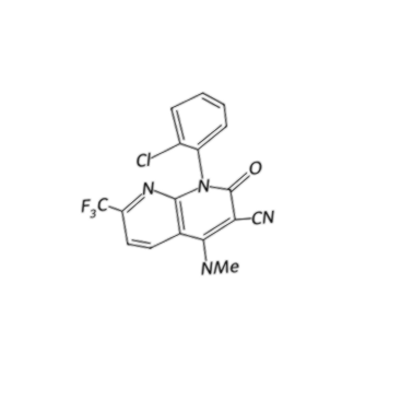 CNc1c(C#N)c(=O)n(-c2ccccc2Cl)c2nc(C(F)(F)F)ccc12